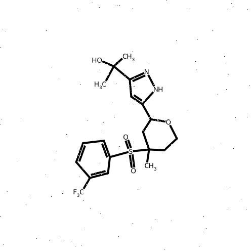 CC(C)(O)c1cc(C2CC(C)(S(=O)(=O)c3cccc(C(F)(F)F)c3)CCO2)[nH]n1